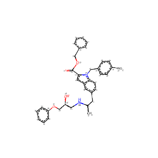 CC(Cc1ccc2c(c1)cc(C(=O)OCc1ccccc1)n2Cc1ccc([N+](=O)[O-])cc1)NC[C@H](O)COc1ccccc1